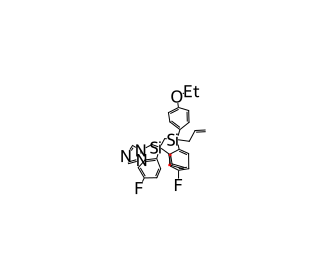 C=CC[Si](Cn1cncn1)(C[Si](CC=C)(c1ccc(F)cc1)c1ccc(OCC)cc1)c1ccc(F)cc1